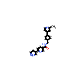 Cc1cc(-c2ccc(CNC(=O)c3ccc(-c4ccnnc4)nc3)cc2)ccn1